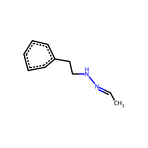 C/C=N/NCCc1ccccc1